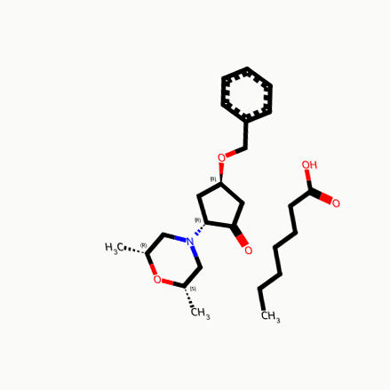 CCCCCCC(=O)O.C[C@@H]1CN([C@@H]2C[C@@H](OCc3ccccc3)CC2=O)C[C@H](C)O1